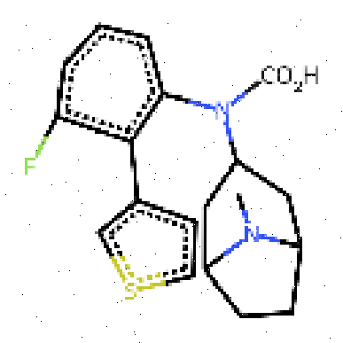 CN1C2CCC1CC(N(C(=O)O)c1cccc(F)c1-c1ccsc1)C2